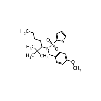 [CH2]CCCC(N(Cc1ccc(OC)cc1)S(=O)(=O)c1cccs1)C(C)(C)C